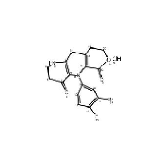 Cl.O=C1CCNC2=C1N(c1ccc(F)c(Br)c1)C1=C(CCOC1=O)C2